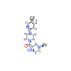 CC(C)N1CCNC(C(=O)N2CCN(c3ccc(C(F)(F)F)cn3)CC2)C1